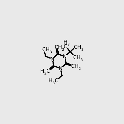 C=C1N(CC)C(=C)N(C(C)(C)C)C(=C)N1CC